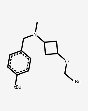 CN(Cc1ccc(C(C)(C)C)cc1)C1CC(OCC(C)(C)C)C1